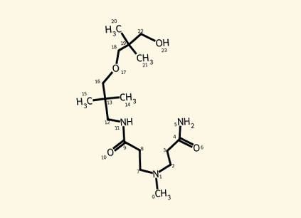 CN(CCC(N)=O)CCC(=O)NCC(C)(C)COCC(C)(C)CO